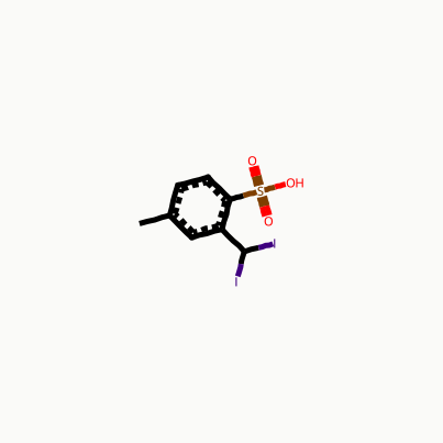 Cc1ccc(S(=O)(=O)O)c(C(I)I)c1